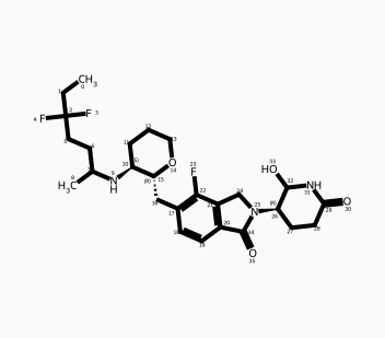 CCC(F)(F)CCC(C)N[C@H]1CCCO[C@@H]1Cc1ccc2c(c1F)CN([C@@H]1CCC(=O)NC1O)C2=O